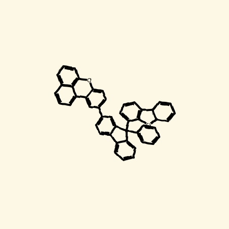 C1=CC2Oc3c(cccc3C3(c4ccccc4)c4ccccc4-c4ccc(-c5ccc6c(c5)-c5cccc7cccc(c57)O6)cc43)C2C=C1